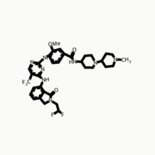 COc1cc(C(=O)NC2CCN(C3CCN(C)CC3)CC2)ccc1Nc1ncc(C(F)(F)F)c(Nc2cccc3c2C(=O)N(CC(F)F)C3)n1